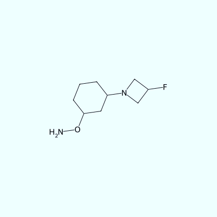 NOC1CCCC(N2CC(F)C2)C1